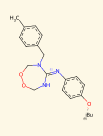 CC[C@@H](C)Oc1ccc(/N=C2\NCOOCN2Cc2ccc(C)cc2)cc1